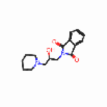 O=C1c2ccccc2C(=O)N1CC(O)CN1CCCCC1